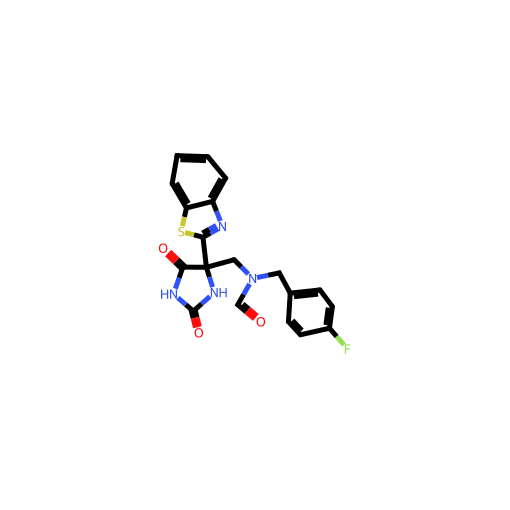 O=CN(Cc1ccc(F)cc1)CC1(c2nc3ccccc3s2)NC(=O)NC1=O